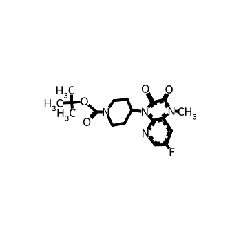 Cn1c(=O)c(=O)n(C2CCN(C(=O)OC(C)(C)C)CC2)c2ncc(F)cc21